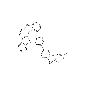 Cc1ccc2oc3ccc(-c4cccc(-n5c6ccccc6c6ccc7sc8ccccc8c7c65)c4)cc3c2c1